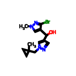 Cn1cc(C(O)c2cnn(CC3(C)CC3)c2)c(Br)n1